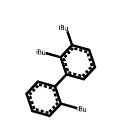 CCC(C)c1ccccc1-c1cccc(C(C)CC)c1C(C)CC